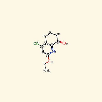 CCOc1cc(Cl)c2c(n1)C(=O)CCC2